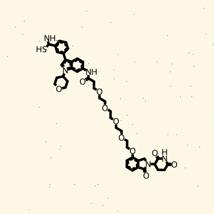 NC(S)c1cccc(-c2cn(C3CCOCC3)c3cc(NC(=O)CCOCCOCCOCCOCCOc4cccc5c4CN(C4CCC(=O)NC4=O)C5=O)ccc23)c1